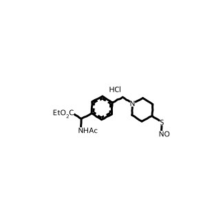 CCOC(=O)C(NC(C)=O)c1ccc(CN2CCC(SN=O)CC2)cc1.Cl